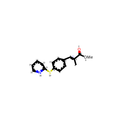 COC(=O)/C(C)=C/c1ccc(Sc2ccccn2)cc1